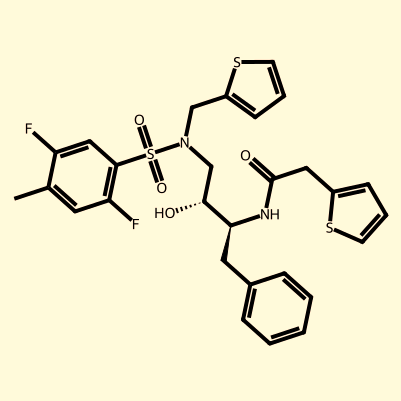 Cc1cc(F)c(S(=O)(=O)N(Cc2cccs2)C[C@@H](O)[C@H](Cc2ccccc2)NC(=O)Cc2cccs2)cc1F